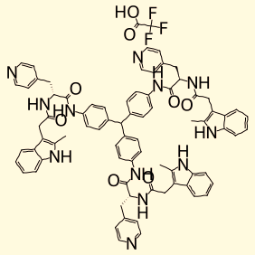 Cc1[nH]c2ccccc2c1CC(=O)N[C@H](Cc1ccncc1)C(=O)Nc1ccc(C(c2ccc(NC(=O)[C@@H](Cc3ccncc3)NC(=O)Cc3c(C)[nH]c4ccccc34)cc2)c2ccc(NC(=O)[C@@H](Cc3ccncc3)NC(=O)Cc3c(C)[nH]c4ccccc34)cc2)cc1.O=C(O)C(F)(F)F